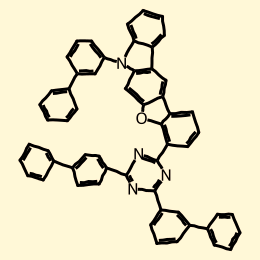 c1ccc(-c2ccc(-c3nc(-c4cccc(-c5ccccc5)c4)nc(-c4cccc5c4oc4cc6c(cc45)c4ccccc4n6-c4cccc(-c5ccccc5)c4)n3)cc2)cc1